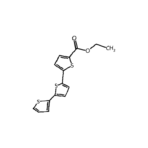 CCOC(=O)c1ccc(-c2ccc(-c3cccs3)s2)s1